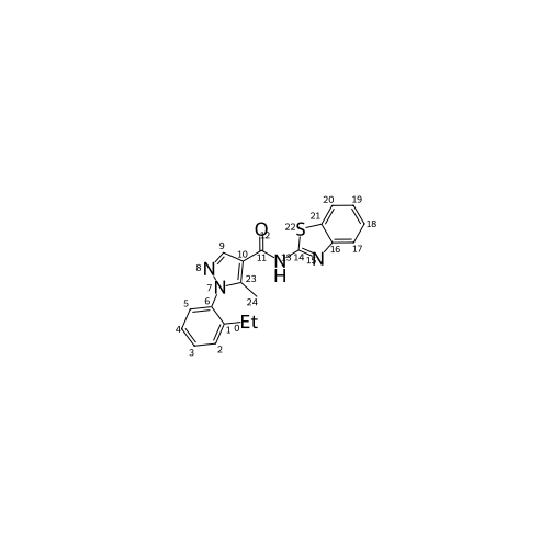 CCc1ccccc1-n1ncc(C(=O)Nc2nc3ccccc3s2)c1C